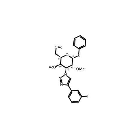 CO[C@@H]1[C@@H](n2cc(-c3cccc(F)c3)nn2)[C@@H](OC(C)=O)[C@@H](COC(C)=O)O[C@H]1Sc1ccccc1